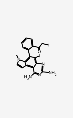 Cn1ccc2c3c(N)nc(N)nc3c(I)c(-c3ccccc3C(=O)CI)c21